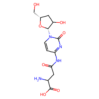 NC(CC(=O)Nc1ccn([C@@H]2O[C@H](CO)CC2O)c(=O)n1)C(=O)O